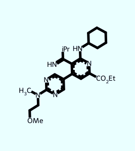 CCOC(=O)c1cc(-c2cnc(N(C)CCOC)nc2)c(C(=N)C(C)C)c(NC2CCCCC2)n1